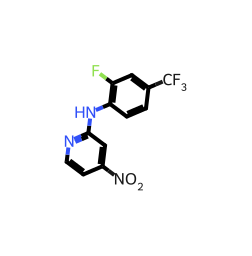 O=[N+]([O-])c1ccnc(Nc2ccc(C(F)(F)F)cc2F)c1